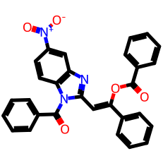 O=C(OC(=Cc1nc2cc([N+](=O)[O-])ccc2n1C(=O)c1ccccc1)c1ccccc1)c1ccccc1